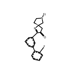 CCN1CC[C@]2(CC(=O)C(c3cccc(-c4ccccc4F)c3)=N2)C1